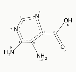 Nc1ncnc(C(=O)O)c1N